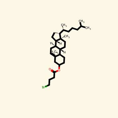 CC(C)CCC[C@@H](C)[C@H]1CC[C@H]2[C@@H]3CC=C4CC(OC(=O)CCCBr)CC[C@]4(C)[C@H]3CC[C@]12C